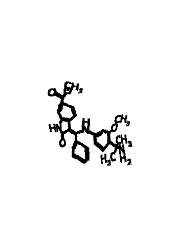 COC(=O)c1ccc2c(c1)NC(=O)C2=C(Nc1ccc(C(C)(C)N)c(OC)c1)c1ccccc1